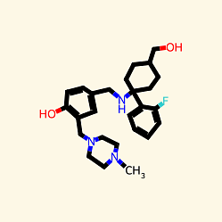 CN1CCN(Cc2cc(CNC3(c4ccccc4F)CCC(CO)CC3)ccc2O)CC1